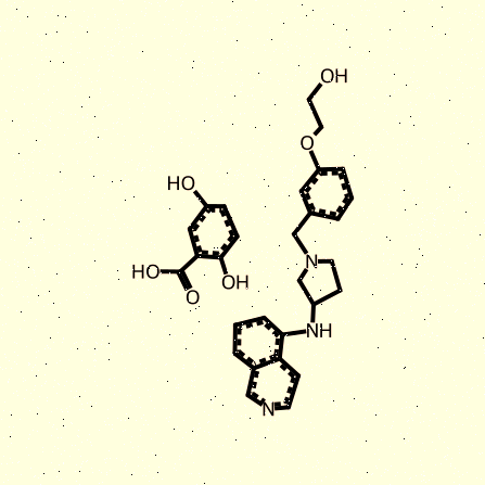 O=C(O)c1cc(O)ccc1O.OCCOc1cccc(CN2CCC(Nc3cccc4cnccc34)C2)c1